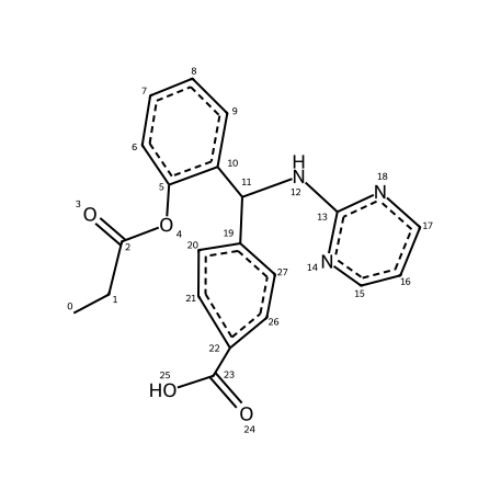 CCC(=O)Oc1ccccc1C(Nc1ncccn1)c1ccc(C(=O)O)cc1